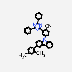 Cc1ccc(-c2ccc3c(c2)c2ccccc2n3-c2ccc(C#N)c(-c3nc(-c4ccccc4)nc(-c4ccccc4)n3)c2)c(C)c1